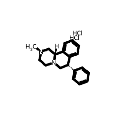 CN1CCN2C[C@@H](c3ccccc3)c3ccccc3[C@H]2C1.Cl.Cl